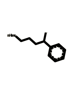 [CH2]C(CCCCCCCCC)c1ccccc1